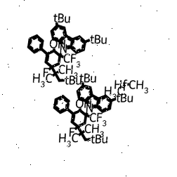 CC(C)(C)CC(C)(C)C1(F)C=C(c2ccccc2)C(O)C(n2c3ccc(C(C)(C)C)cc3c3cc(C(C)(C)C)ccc32)(C(F)(F)F)C1.CC(C)(C)CC(C)(C)C1(F)C=C(c2ccccc2)C(O)C(n2c3ccc(C(C)(C)C)cc3c3cc(C(C)(C)C)ccc32)(C(F)(F)F)C1.[CH3][Hf][CH3]